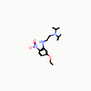 CCOc1ccc([N+](=O)[O-])c(NCCN(C(C)C)C(C)C)c1